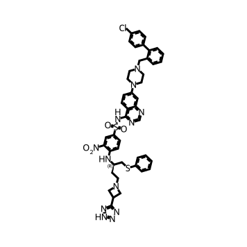 O=[N+]([O-])c1cc(S(=O)(=O)Nc2ncnc3cc(N4CCN(Cc5ccccc5-c5ccc(Cl)cc5)CC4)ccc23)ccc1N[C@H](CCN1CC(c2nn[nH]n2)C1)CSc1ccccc1